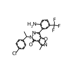 Cc1noc2c(-c3cc(C(F)(F)F)ccc3N)nn(C(C)c3ccc(Cl)cc3)c(=O)c12